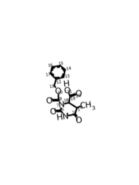 CC1C(=O)NC(=O)N(C(=O)OCc2ccccc2)C1C(=O)O